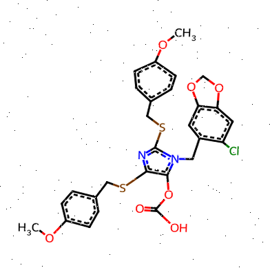 COc1ccc(CSc2nc(SCc3ccc(OC)cc3)n(Cc3cc4c(cc3Cl)OCO4)c2OC(=O)O)cc1